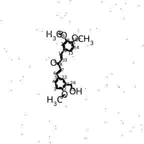 COc1ccc(/C=C/C(=O)/C=C/c2ccc(OC)c(OC)c2)cc1CO